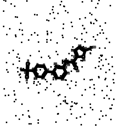 CS(=O)(=O)c1ccc(-c2cccc(NC(=O)c3ccc(F)o3)n2)cc1